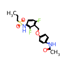 CCCS(=O)(=O)Nc1ccc(F)c(COc2ccc(NC(C)=O)cc2)c1F